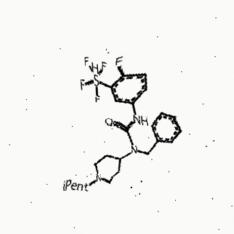 CCCC(C)N1CCC(N(Cc2ccccc2)C(=O)Nc2ccc(F)c([SH](F)(F)(F)F)c2)CC1